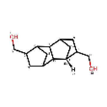 OCC1CC2CC1C1C3CC(CO)[C@@H](C3)C21